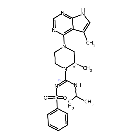 Cc1c[nH]c2ncnc(N3CCN(/C(=N/S(=O)(=O)c4ccccc4)NC(C)C)[C@@H](C)C3)c12